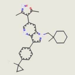 CC(=O)C1(c2ccc(-c3cn(CC4(C)CCCCC4)c4cc(-c5c(C)noc5C)cnc34)cc2)CC1